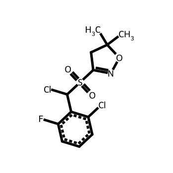 CC1(C)CC(S(=O)(=O)C(Cl)c2c(F)cccc2Cl)=NO1